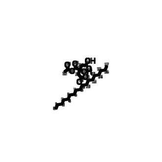 CCCCCCCCCC(CCCCCCCC)OC(=O)CC(O)(CC(=O)O)C(=O)OC(C)=O